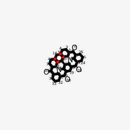 O=c1c2ccccc2n2c3c(-c4ccccc4)c4c(cc3c(=O)c3cccc1c32)c(=O)c1cccc2c(=O)c3ccccc3n4c21